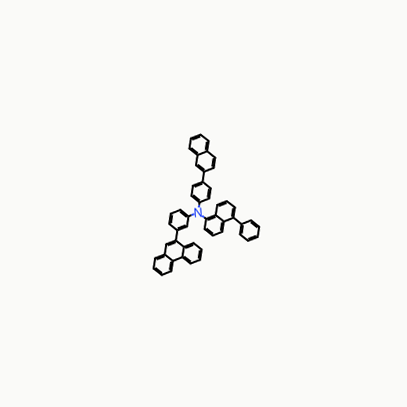 c1ccc(-c2cccc3c(N(c4ccc(-c5ccc6ccccc6c5)cc4)c4cccc(-c5cc6ccccc6c6ccccc56)c4)cccc23)cc1